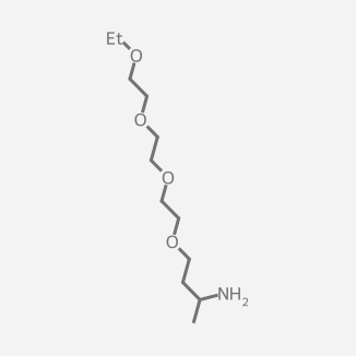 CCOCCOCCOCCOCCC(C)N